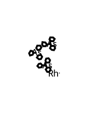 [Rh].c1ccc([As](c2ccccc2)c2ccccc2)cc1.c1ccc([As](c2ccccc2)c2ccccc2)cc1.c1ccc([As](c2ccccc2)c2ccccc2)cc1